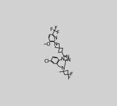 COc1ccc(C(F)(F)F)nc1N1CC2(CC(c3nnc4n3-c3ccc(Cl)cc3CN(C3(C)CC(F)(F)C3)C4)C2)C1